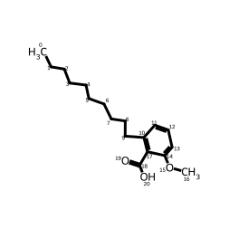 CCCCCCCCCCc1cccc(OC)c1C(=O)O